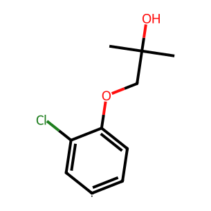 CC(C)(O)COc1cc[c]cc1Cl